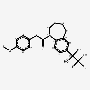 COc1ccc(CC(=O)N2CCCCc3cc(C(O)(F)C(F)(F)F)ccc32)cc1